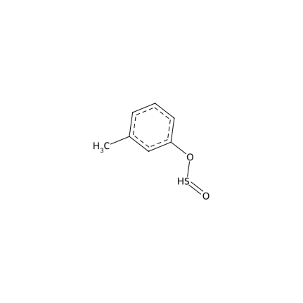 Cc1cccc(O[SH]=O)c1